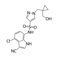 N#Cc1c[nH]c2c(NS(=O)(=O)c3cnn(CC4(CO)CC4)c3)ccc(Cl)c12